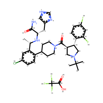 C[C@H](N[C@@H](Cc1c[nH]cn1)C(N)=O)c1cc(Cl)ccc1C1CCN(C(=O)[C@@H]2CN(C(C)(C)C)C[C@H]2c2ccc(F)cc2F)CC1.O=C(O)C(F)(F)F